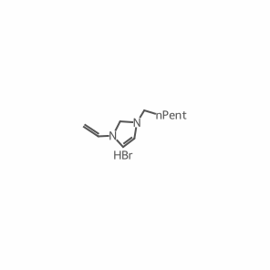 Br.C=CN1C=CN(CCCCCC)C1